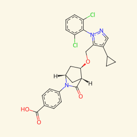 O=C(O)c1ccc(N2C(=O)[C@@H]3C[C@H]2C[C@H]3OCc2c(C3CC3)cnn2-c2c(Cl)cccc2Cl)cc1